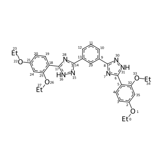 CCOc1ccc(-c2nc(-c3cccc(-c4n[nH]c(-c5ccc(OCC)cc5OCC)n4)c3)n[nH]2)c(OCC)c1